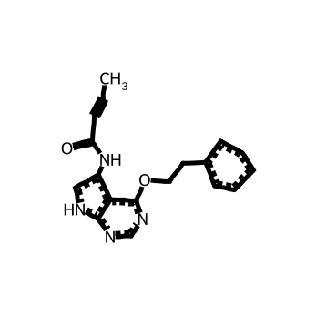 CC#CC(=O)Nc1c[nH]c2ncnc(OCCc3ccccc3)c12